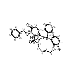 C[C@H]1N2C/C=C/COc3c(F)cccc3[C@H](c3ccccc3)N1n1ccc(=O)c(OCc3ccccc3)c1C2=O